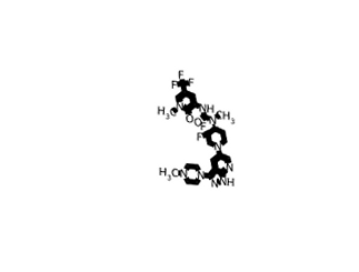 CN1CCN(c2n[nH]c3ncc(N4CC[C@H](N(C)C(=O)Nc5cc(C(F)(F)F)cn(C)c5=O)C(F)(F)C4)cc23)CC1